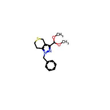 COC(OC)c1nn(Cc2ccccc2)c2c1CSCC2